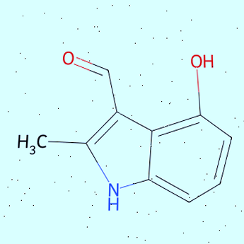 Cc1[nH]c2cccc(O)c2c1C=O